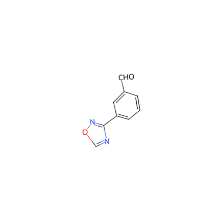 O=Cc1cccc(-c2ncon2)c1